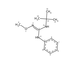 CO/N=C(\Nc1ccccc1)NC(C)(C)C